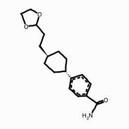 NC(=O)c1ccc([C@H]2CC[C@H](CCC3OCCO3)CC2)cc1